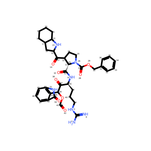 N=C(N)NCCC[C@H](NC(=O)[C@@H]1C(C(=O)C2CC3CCCCC3N2)CCN1C(=O)OCc1ccccc1)C(=O)C(O[C]=O)c1c2cccc1C(=O)N2